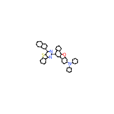 c1ccc(N(c2ccccc2)c2ccc3c(c2)oc2c4ccccc4c(-c4nc(-c5ccc6ccccc6c5)c5sc6ccccc6c5n4)cc32)cc1